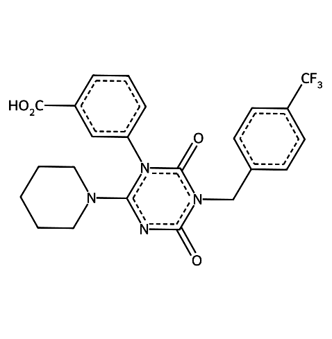 O=C(O)c1cccc(-n2c(N3CCCCC3)nc(=O)n(Cc3ccc(C(F)(F)F)cc3)c2=O)c1